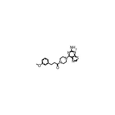 COc1cccc(CCC(=O)N2CCN(c3nc(N)nc4scnc34)CC2)c1